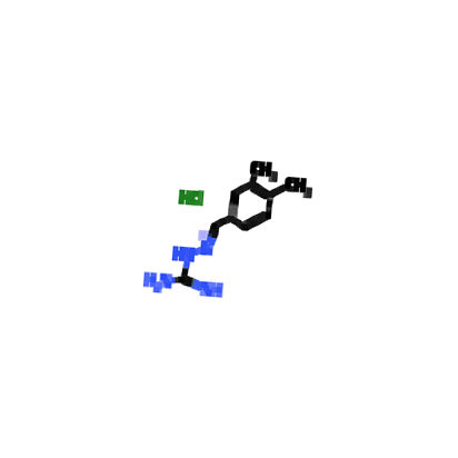 Cc1ccc(/C=N/NC(=N)N)cc1C.Cl